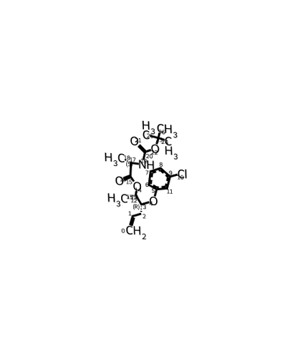 C=CC[C@@H](Oc1cccc(Cl)c1)[C@H](C)OC(=O)[C@H](C)NC(=O)OC(C)(C)C